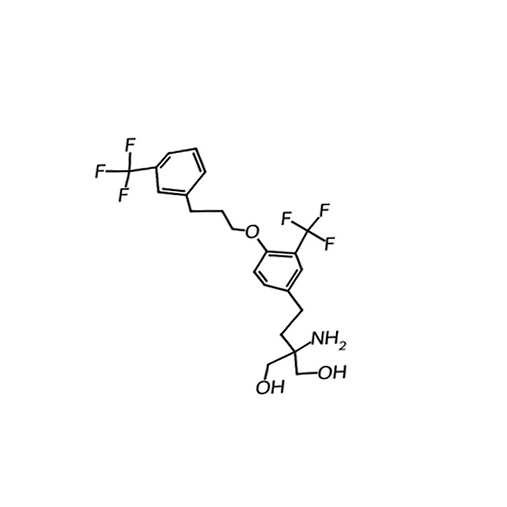 NC(CO)(CO)CCc1ccc(OCCCc2cccc(C(F)(F)F)c2)c(C(F)(F)F)c1